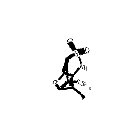 Cc1c2c3oc1c(C(F)(F)F)c3S(=O)(=O)N2